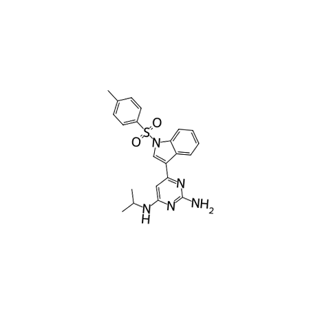 Cc1ccc(S(=O)(=O)n2cc(-c3cc(NC(C)C)nc(N)n3)c3ccccc32)cc1